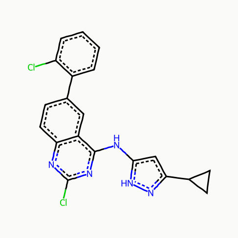 Clc1nc(Nc2cc(C3CC3)n[nH]2)c2cc(-c3ccccc3Cl)ccc2n1